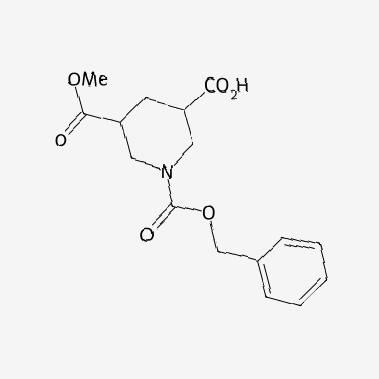 COC(=O)C1CC(C(=O)O)CN(C(=O)OCc2ccccc2)C1